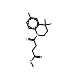 COC(=O)CCC(=O)N1CCC(C)(C)c2cc(I)ccc21